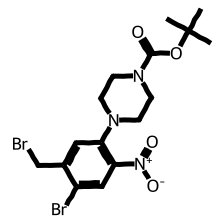 CC(C)(C)OC(=O)N1CCN(c2cc(CBr)c(Br)cc2[N+](=O)[O-])CC1